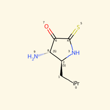 CC(C)C[C@@H]1NC(=S)C(=O)[C@H]1N